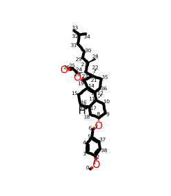 COc1ccc(CO[C@H]2CC[C@]3(C)C4=C(CC[C@H]3C2)C(=O)[C@@](C)([C@H](CC=O)[C@H](C)CCCC(C)C)CC4)cc1